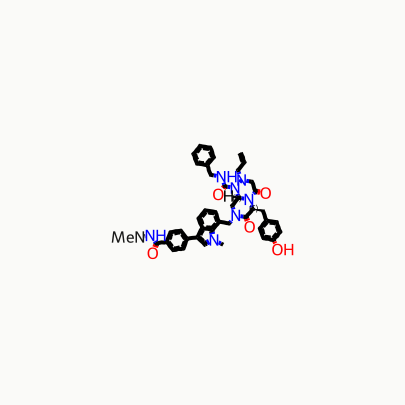 C=CCN1CC(=O)N2[C@@H](Cc3ccc(O)cc3)C(=O)N(Cc3cccc4c(-c5ccc(C(=O)NNC)cc5)cn(C)c34)C[C@@H]2N1C(=O)NCc1ccccc1